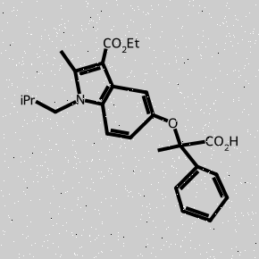 CCOC(=O)c1c(C)n(CC(C)C)c2ccc(OC(C)(C(=O)O)c3ccccc3)cc12